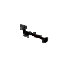 C/C(=N/OCCNC(=O)O)c1ccc(OCCCC(=O)NCCNCCCCCCN2C(=O)C=CC2=O)cc1